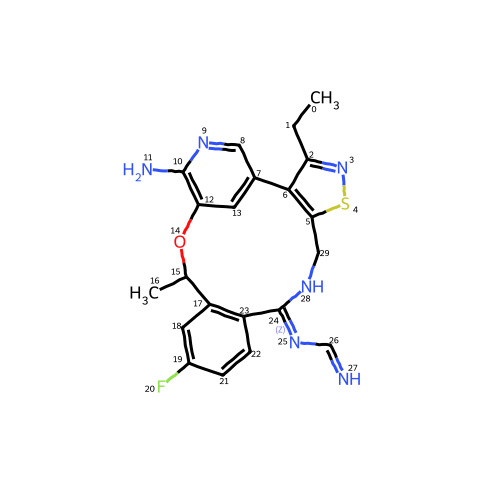 CCc1nsc2c1-c1cnc(N)c(c1)OC(C)c1cc(F)ccc1/C(=N/C=N)NC2